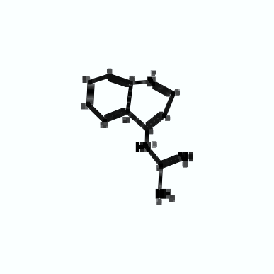 N=C(N)Nc1ccnc2ccccc12